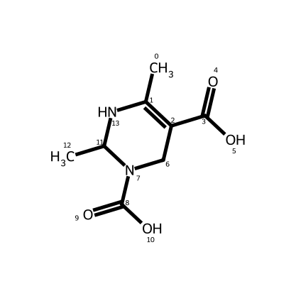 CC1=C(C(=O)O)CN(C(=O)O)C(C)N1